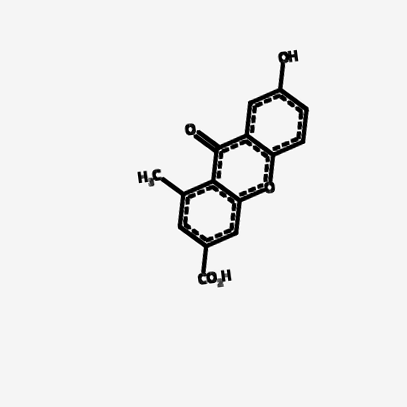 Cc1cc(C(=O)O)cc2oc3ccc(O)cc3c(=O)c12